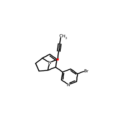 CC#CCN1C2C=CC(c3cncc(Br)c3)C1CC2